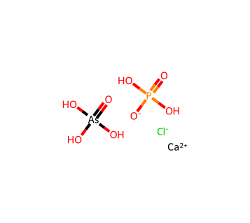 O=P([O-])(O)O.O=[As](O)(O)O.[Ca+2].[Cl-]